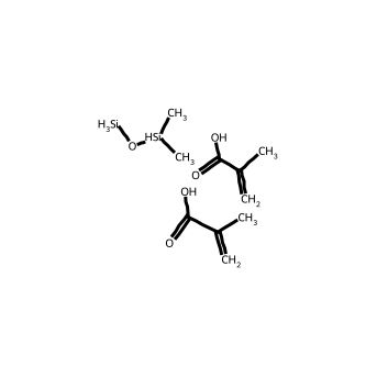 C=C(C)C(=O)O.C=C(C)C(=O)O.C[SiH](C)O[SiH3]